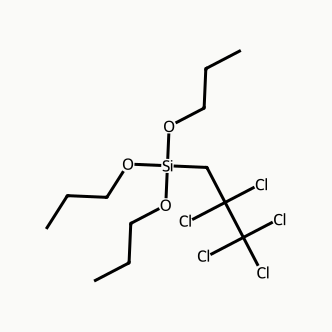 CCCO[Si](CC(Cl)(Cl)C(Cl)(Cl)Cl)(OCCC)OCCC